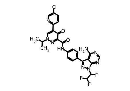 CC(C)n1cc(-c2ccc(Cl)cn2)c(=O)c(C(=O)Nc2ccc(-c3nn(C(F)C(F)F)c4ncnc(N)c34)cc2)n1